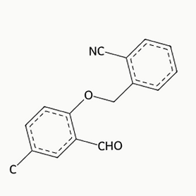 Cc1ccc(OCc2ccccc2C#N)c(C=O)c1